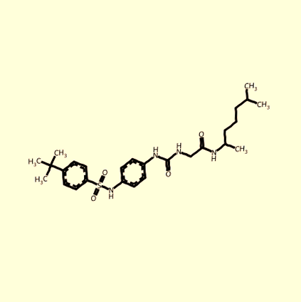 CC(C)CCCC(C)NC(=O)CNC(=O)Nc1ccc(NS(=O)(=O)c2ccc(C(C)(C)C)cc2)cc1